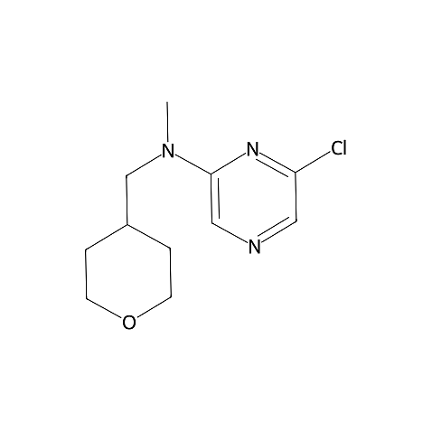 CN(CC1CCOCC1)c1cncc(Cl)n1